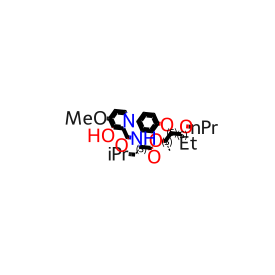 CCCO[C@@H](CC)[C@@H](Oc1ccccc1)[C@H](C)OC(=O)[C@H](CC(C)C)NC(=O)c1nccc(OC)c1O